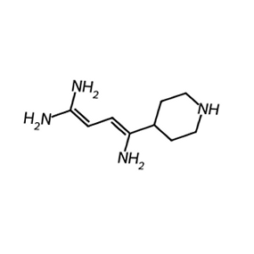 NC(N)=C/C=C(\N)C1CCNCC1